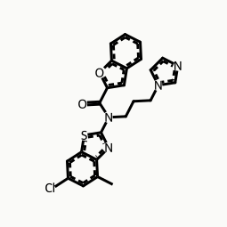 Cc1cc(Cl)cc2sc(N(CCCn3ccnc3)C(=O)c3cc4ccccc4o3)nc12